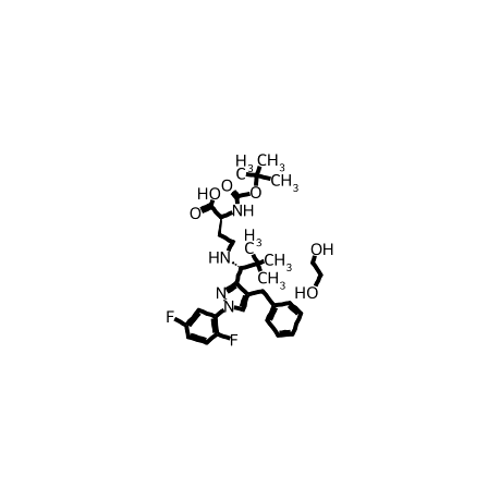 CC(C)(C)OC(=O)N[C@@H](CCN[C@@H](c1nn(-c2cc(F)ccc2F)cc1Cc1ccccc1)C(C)(C)C)C(=O)O.OCCO